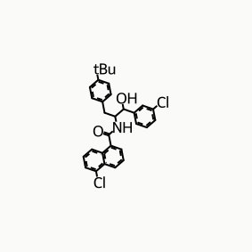 CC(C)(C)c1ccc(CC(NC(=O)c2cccc3c(Cl)cccc23)C(O)c2cccc(Cl)c2)cc1